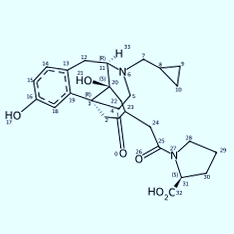 O=C1C[C@]23CCN(CC4CC4)[C@H](Cc4ccc(O)cc42)[C@]3(O)CC1CC(=O)N1CCC[C@H]1C(=O)O